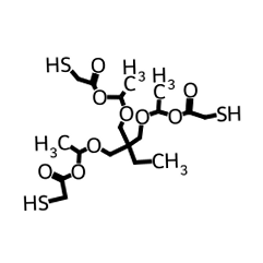 CCC(COC(C)OC(=O)CS)(COC(C)OC(=O)CS)COC(C)OC(=O)CS